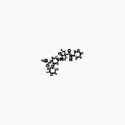 CCC(C)(C(=O)Nc1ccccc1)C(=O)Nc1ccc(C(=O)OC)c(-c2ccccc2)c1